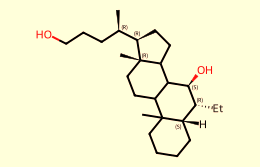 CC[C@H]1[C@H](O)C2C(CC[C@@]3(C)C2CC[C@@H]3[C@H](C)CCCO)C2(C)CCCC[C@@H]12